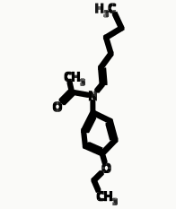 CCCCC=CN(C(C)=O)c1ccc(OCC)cc1